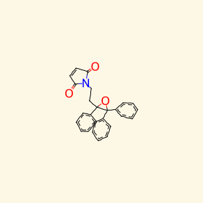 O=C1C=CC(=O)N1CCC1(c2ccccc2)OC1(c1ccccc1)c1ccccc1